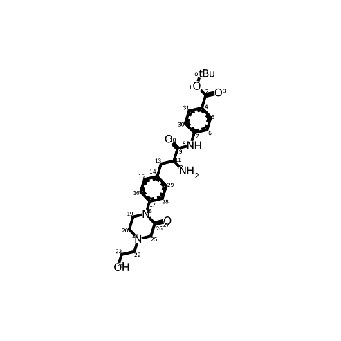 CC(C)(C)OC(=O)c1ccc(NC(=O)C(N)Cc2ccc(N3CCN(CCO)CC3=O)cc2)cc1